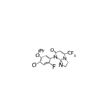 CC(C)Oc1cc(N2C(=O)C=C(C(F)(F)F)N3CCN=C32)c(F)cc1Cl